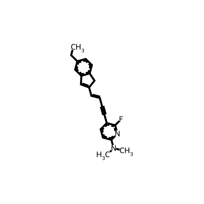 CCc1ccc2c(c1)C=C(/C=C/C#Cc1ccc(N(C)C)nc1F)C2